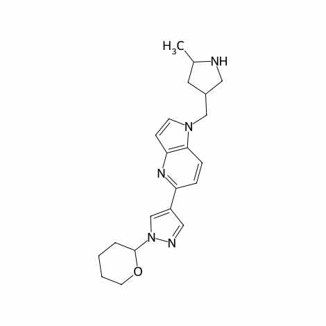 CC1CC(Cn2ccc3nc(-c4cnn(C5CCCCO5)c4)ccc32)CN1